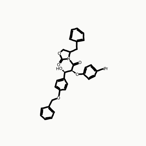 CC(C)c1ccc(O[C@H](C(=O)N2C(=O)OCC2Cc2ccccc2)[C@H](O)c2ccc(OCc3ccccc3)cc2)cc1